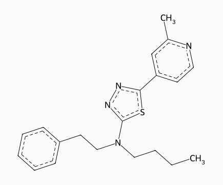 CCCCN(CCc1ccccc1)c1nnc(-c2ccnc(C)c2)s1